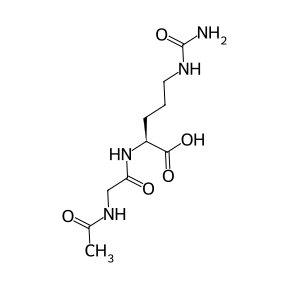 CC(=O)NCC(=O)N[C@@H](CCCNC(N)=O)C(=O)O